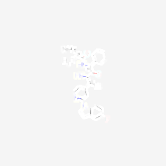 CC[C@H](C(=N)C(=O)[C@@H](NC(=O)[C@H](C)NC)C1CCCCC1)c1ccnc(N2CCc3cc(F)ccc32)c1